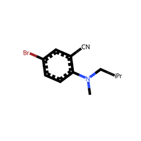 CC(C)CN(C)c1ccc(Br)cc1C#N